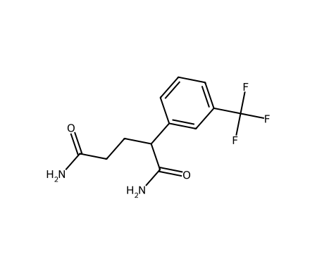 NC(=O)CCC(C(N)=O)c1cccc(C(F)(F)F)c1